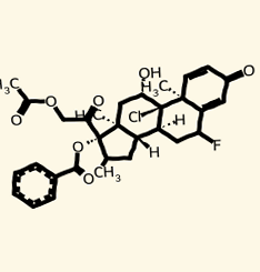 CC(=O)OCC(=O)[C@]1(OC(=O)c2ccccc2)C(C)C[C@H]2[C@@H]3CC(F)C4=CC(=O)C=C[C@]4(C)[C@@]3(Cl)[C@@H](O)C[C@@]21C